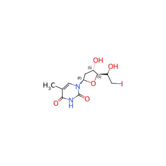 Cc1cn([C@H]2C[C@H](O)[C@@H](C(O)CI)O2)c(=O)[nH]c1=O